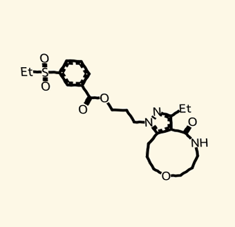 CCc1nn(CCCOC(=O)c2cccc(S(=O)(=O)CC)c2)c2c1C(=O)NCCCOCCC2